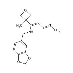 C/N=C/C=C(\NCc1ccc2c(c1)OCO2)C1(C)COC1